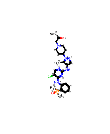 COC(=O)CN1CCC(n2ncc(Nc3ncc(Cl)c(Nc4ccccc4P(C)(C)=O)n3)c2C)CC1